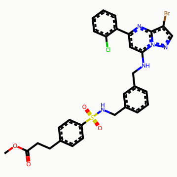 COC(=O)CCc1ccc(S(=O)(=O)NCc2cccc(CNc3cc(-c4ccccc4Cl)nc4c(Br)cnn34)c2)cc1